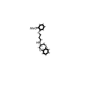 COc1ccccc1SCCCN[C@@H]1COc2ccccc2SC1